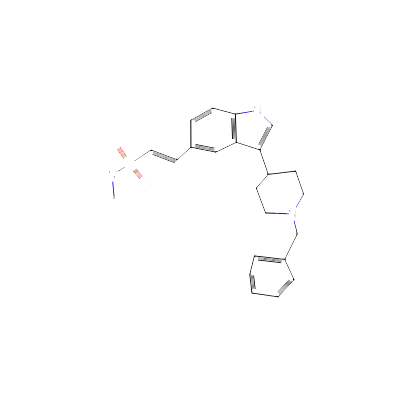 CCNS(=O)(=O)C=Cc1ccc2[nH]cc(C3CCN(Cc4ccccc4)CC3)c2c1